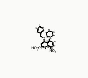 O=C(O)c1cc(OCc2ccccc2)c2c(N3CCCCC3)ccc([N+](=O)[O-])c2n1